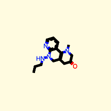 CCCNN1CC2=C(c3cccnc31)N(C)CC(=O)C2